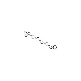 C=CC(=O)OCCOCCOCCOCCOCCOc1ccccc1